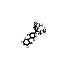 CCC(N=C=O)(N=C=O)C1CCC(C2CCCCC2)CC1